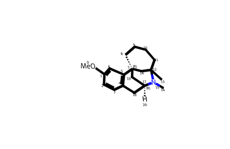 COc1ccc2c(c1)[C@@]13CCCCC(C)(C1)N(C)[C@@H](C2)C3